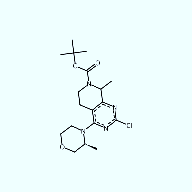 CC1c2nc(Cl)nc(N3CCOC[C@@H]3C)c2CCN1C(=O)OC(C)(C)C